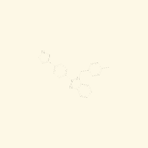 Cc1ccc(Cn2c(-c3ccc(-n4ccnc4)cc3)nc3ccccc32)cc1